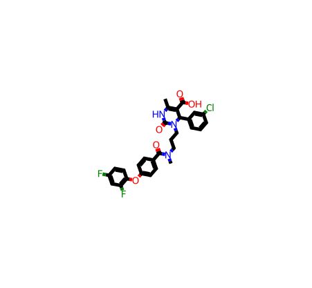 CC1=C(C(=O)O)C(c2cccc(Cl)c2)N(CCCN(C)C(=O)c2ccc(Oc3ccc(F)cc3F)cc2)C(=O)N1